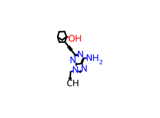 C#CCn1cnc2c(N)nc(C#CC3CC4CCC3(O)C4)nc21